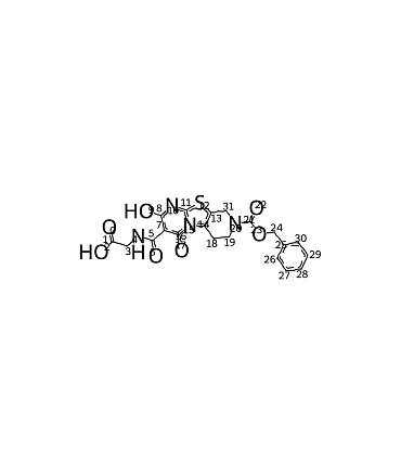 O=C(O)CNC(=O)c1c(O)nc2sc3c(n2c1=O)CCN(C(=O)OCc1ccccc1)C3